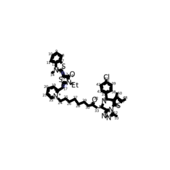 CCn1c(=O)/c(=C2\Sc3ccccc3N2C)s/c1=C\c1cccc[n+]1CCCCCCCC(=O)C[C@@H]1N=C(c2ccc(Cl)cc2)c2c(sc(C)c2C)-n2c(C)nnc21